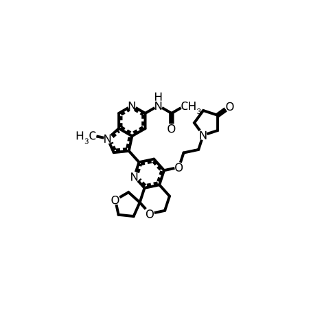 CC(=O)Nc1cc2c(-c3cc(OCCN4CCC(=O)C4)c4c(n3)C3(CCOC3)OCC4)cn(C)c2cn1